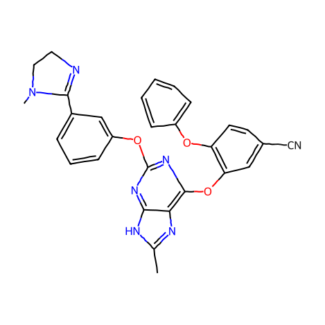 Cc1nc2c(Oc3cc(C#N)ccc3Oc3ccccc3)nc(Oc3cccc(C4=NCCN4C)c3)nc2[nH]1